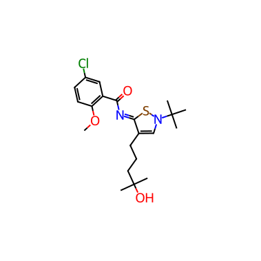 COc1ccc(Cl)cc1C(=O)N=c1sn(C(C)(C)C)cc1CCCC(C)(C)O